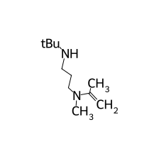 C=C(C)N(C)CCCNC(C)(C)C